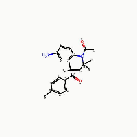 CC(=O)N1c2ccc(N)cc2C(C)(C(=O)c2ccc(C)cc2)CC1(C)C